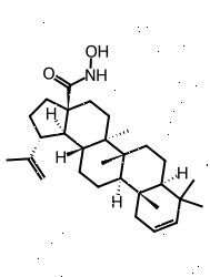 C=C(C)[C@@H]1CC[C@]2(C(=O)NO)CC[C@]3(C)[C@H](CC[C@@H]4[C@@]5(C)CC=CC(C)(C)[C@@H]5CC[C@]43C)[C@@H]12